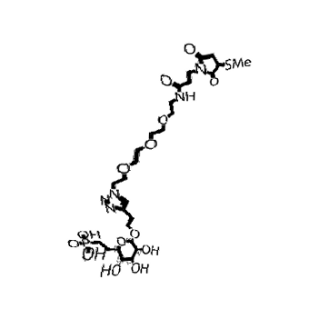 CSC1CC(=O)N(CCC(=O)NCCOCCOCCOCCn2cc(CCO[C@H]3O[C@H](CCP(=O)(O)O)[C@@H](O)[C@H](O)[C@@H]3O)nn2)C1=O